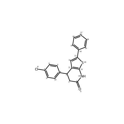 O=C1CC(c2ccc(Cl)cc2)c2cc(-c3ccncc3)sc2N1